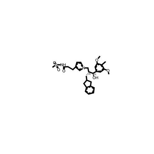 COc1cc([C@@H](O)[C@H](CC2Cc3ccccc3C2)Cn2ccc(CCC(=O)NS(C)(=O)=O)c2)cc(OC)c1C